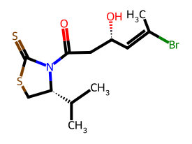 C/C(Br)=C\[C@@H](O)CC(=O)N1C(=S)SC[C@H]1C(C)C